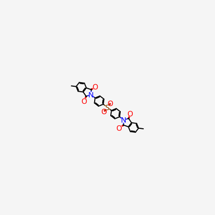 Cc1ccc2c(c1)C(=O)N(c1ccc(S(=O)(=O)c3ccc(N4C(=O)c5ccc(C)cc5C4=O)cc3)cc1)C2=O